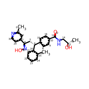 Cc1cc(/C(C[C@H](c2ccc(C(=O)NC[C@H](C)O)cc2)c2ccccc2C)=N\O)ccn1